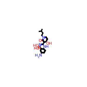 CC(C)CCn1ccc(O)c(C2=NS(O)(O)c3cc(N)ccc3N2)c1=O